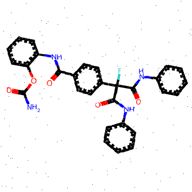 NC(=O)Oc1ccccc1NC(=O)c1ccc(C(F)(C(=O)Nc2ccccc2)C(=O)Nc2ccccc2)cc1